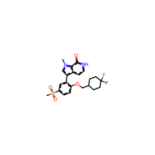 Cn1cc(-c2cc(S(C)(=O)=O)ccc2OCC2CCC(F)(F)CC2)c2cc[nH]c(=O)c21